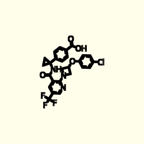 O=C(O)c1ccc(C2(NC(=O)c3cc(C(F)(F)F)cnc3N3CC(Oc4ccc(Cl)cc4)C3)CC2)cc1